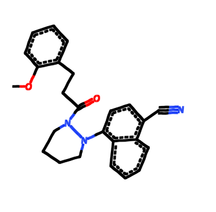 COc1ccccc1CCC(=O)N1CCCCN1c1ccc(C#N)c2ccccc12